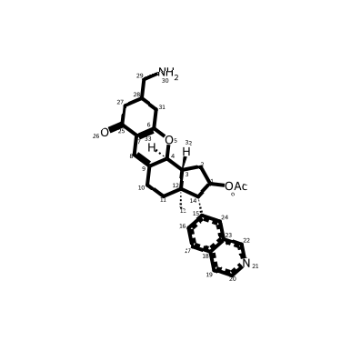 CC(=O)OC1C[C@H]2[C@@H]3OC4=C(C=C3CC[C@]2(C)[C@H]1c1ccc2ccncc2c1)C(=O)CC(CN)C4